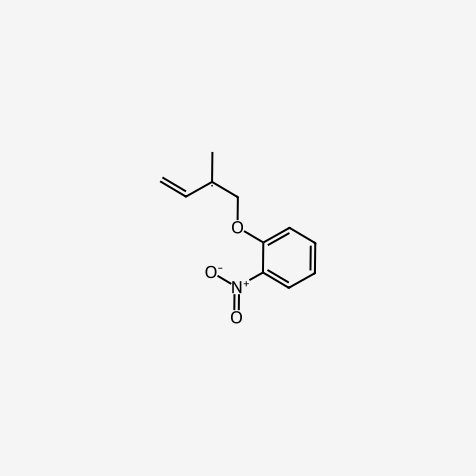 C=C[C](C)COc1ccccc1[N+](=O)[O-]